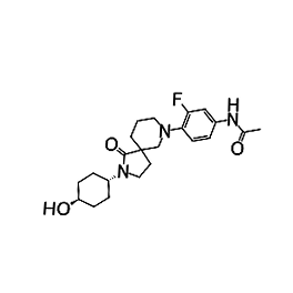 CC(=O)Nc1ccc(N2CCCC3(CCN([C@H]4CC[C@H](O)CC4)C3=O)C2)c(F)c1